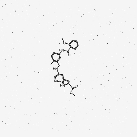 COC(=O)c1cc2cc(NCc3cc(NC(=O)c4ccccc4OC)ccc3C)cnc2[nH]1